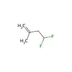 C=C(C)CC(F)F